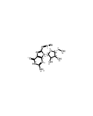 [N-]=[N+]=Nc1nc2c(=O)[nH]c(N)nc2n1[C@@H]1O[C@H](CO)C(O)C1O